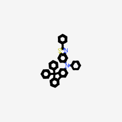 C1=CCCC(N(c2ccc3c(c2)C(c2ccccc2)(c2ccccc2)c2ccccc2-3)c2ccc3sc(-c4ccccc4)nc3c2)=C1